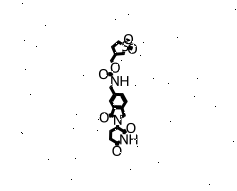 O=C1CCC(N2Cc3ccc(CNC(=O)OCC4CCS(=O)(=O)C4)cc3C2=O)C(=O)N1